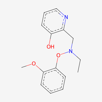 CCN(Cc1ncccc1O)Oc1ccccc1OC